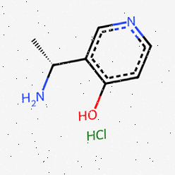 C[C@@H](N)c1cnccc1O.Cl